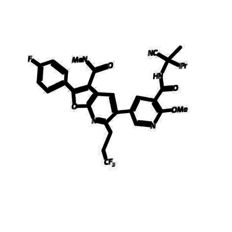 CNC(=O)c1c(-c2ccc(F)cc2)oc2nc(CCC(F)(F)F)c(-c3cnc(OC)c(C(=O)NC(C)(C#N)C(C)C)c3)cc12